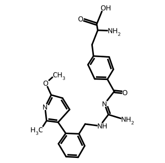 COc1ccc(-c2ccccc2CNC(N)=NC(=O)c2ccc(CC(N)C(=O)O)cc2)c(C)n1